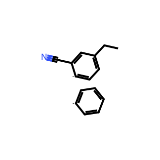 CCc1cc[c]c(C#N)c1.[c]1ccccc1